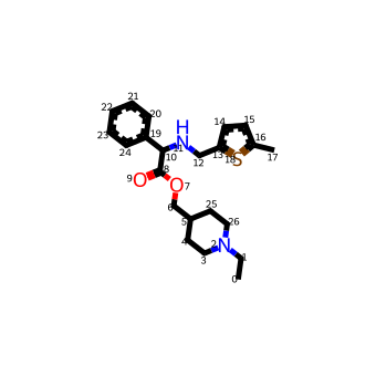 CCN1CCC(COC(=O)C(NCc2ccc(C)s2)c2ccccc2)CC1